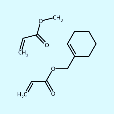 C=CC(=O)OC.C=CC(=O)OCC1=CCCCC1